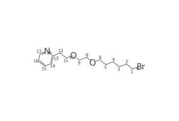 BrCCCCCCOCCOCCc1ccccn1